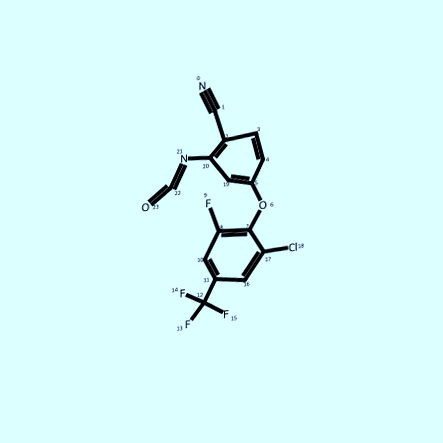 N#Cc1ccc(Oc2c(F)cc(C(F)(F)F)cc2Cl)cc1N=C=O